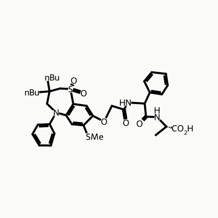 CCCCC1(CCCC)CN(c2ccccc2)c2cc(SC)c(OCC(=O)NC(C(=O)N[C@@H](C)C(=O)O)c3ccccc3)cc2S(=O)(=O)C1